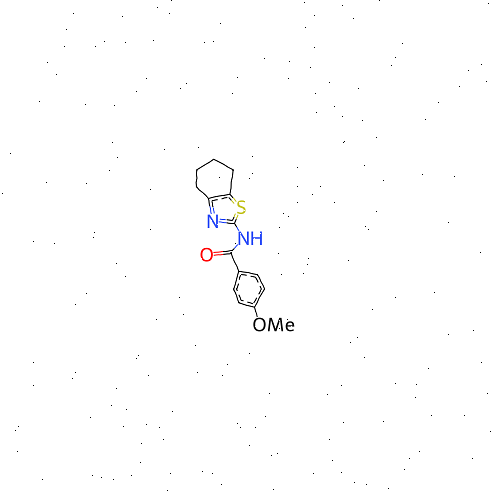 COc1ccc(C(=O)Nc2nc3c(s2)CCCC3)cc1